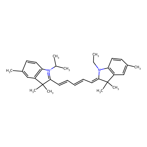 CCN1\C(=C/C=C/C=C/C2=[N+](C(C)C)c3ccc(C)cc3C2(C)C)C(C)(C)c2cc(C)ccc21